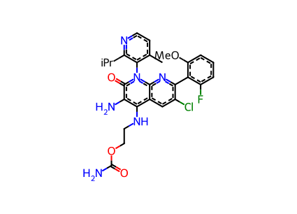 COc1cccc(F)c1-c1nc2c(cc1Cl)c(NCCOC(N)=O)c(N)c(=O)n2-c1c(C)ccnc1C(C)C